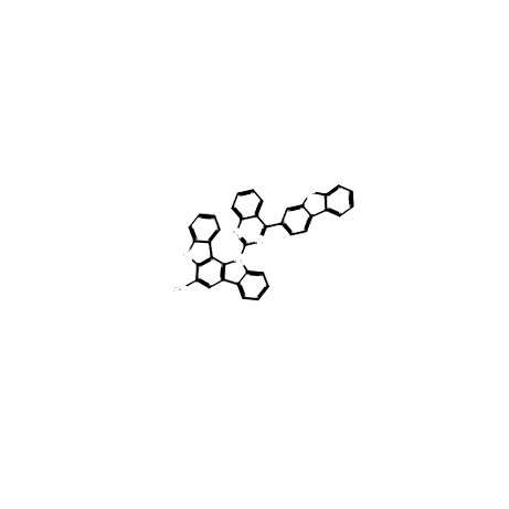 Brc1cc2c3ccccc3n(-c3nc(-c4ccc5c(c4)sc4ccccc45)c4ccccc4n3)c2c2c1oc1ccccc12